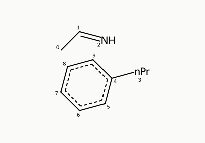 CC=N.CCCc1ccccc1